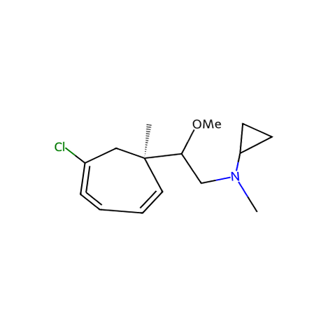 COC(CN(C)C1CC1)[C@@]1(C)C=CC=C=C(Cl)C1